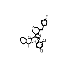 C[C@H](NC(=O)c1c2c(nn1-c1ccc(Cl)cc1Cl)/C(=C/c1ccc(F)cc1)CSC2)C1CCCCC1